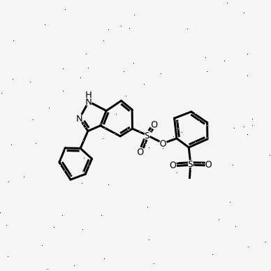 CS(=O)(=O)c1ccccc1OS(=O)(=O)c1ccc2[nH]nc(-c3ccccc3)c2c1